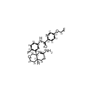 NC1=N[C@@]2(c3cc(NC(=O)c4ccc(OCF)cn4)ccc3F)COCC[C@H]2CS1